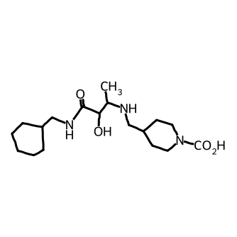 CC(NCC1CCN(C(=O)O)CC1)C(O)C(=O)NCC1CCCCC1